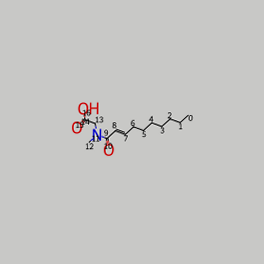 CCCCCCC/C=C/C(=O)N(C)CC(=O)O